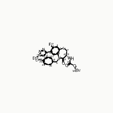 CCn1cc(-c2cc3c(cc2F)SC[C@H](NC(=O)OC(C)(C)C)C(=O)N3Cc2ccc(Cl)cc2)nn1